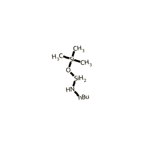 CCCCN[SiH2]O[Si](C)(C)C